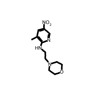 Cc1cc([N+](=O)[O-])cnc1NCCN1CCOCC1